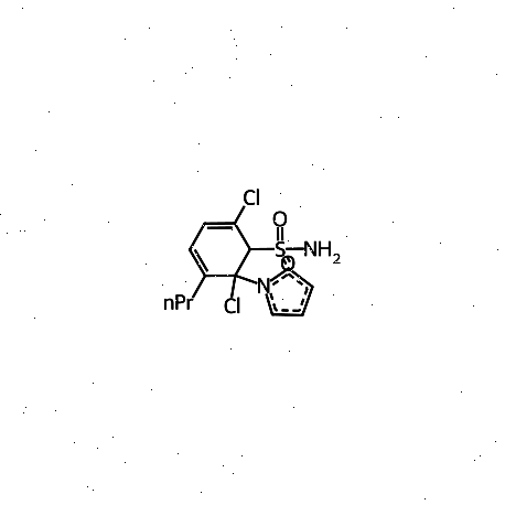 CCCC1=CC=C(Cl)C(S(N)(=O)=O)C1(Cl)n1cccc1